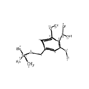 CCOc1cc(CO[Si](C)(C)C(C)(C)C)cc(OCC)c1B(O)O